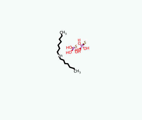 CCCCCC[CH2][Zn][CH2]CCCCCC.OP(O)(O)=S.OP(O)(O)=S